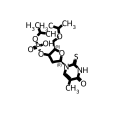 Cc1cn([C@H]2CC(OP(=O)(O)OC(C)C)[C@@H](COC(C)C)O2)c(=S)[nH]c1=O